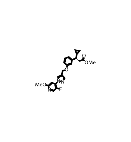 COC(=O)C[C@H](c1cccc(OCc2cnn(-c3cc(OC)ncc3F)c2)c1)C1CC1